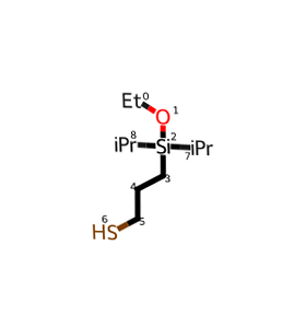 CCO[Si](CCCS)(C(C)C)C(C)C